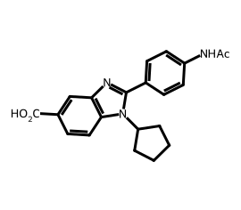 CC(=O)Nc1ccc(-c2nc3cc(C(=O)O)ccc3n2C2CCCC2)cc1